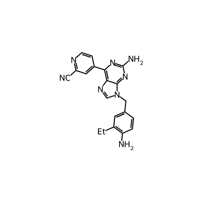 CCc1cc(Cn2cnc3c(-c4ccnc(C#N)c4)nc(N)nc32)ccc1N